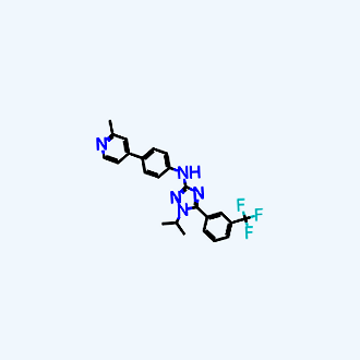 Cc1cc(-c2ccc(Nc3nc(-c4cccc(C(F)(F)F)c4)n(C(C)C)n3)cc2)ccn1